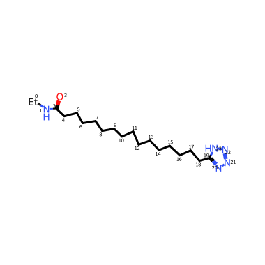 CCNC(=O)CCCCCCCCCCCCCCCc1nnn[nH]1